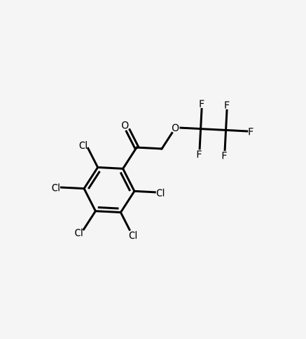 O=C(COC(F)(F)C(F)(F)F)c1c(Cl)c(Cl)c(Cl)c(Cl)c1Cl